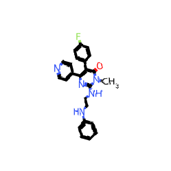 Cn1c(NCCNc2ccccc2)nc(-c2ccncc2)c(-c2ccc(F)cc2)c1=O